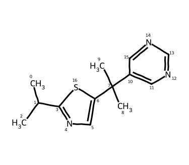 CC(C)c1ncc(C(C)(C)c2cncnc2)s1